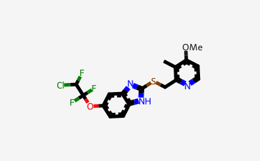 COc1ccnc(CSc2nc3cc(OC(F)(F)C(F)Cl)ccc3[nH]2)c1C